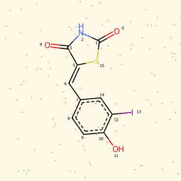 O=C1NC(=O)C(=Cc2ccc(O)c(I)c2)S1